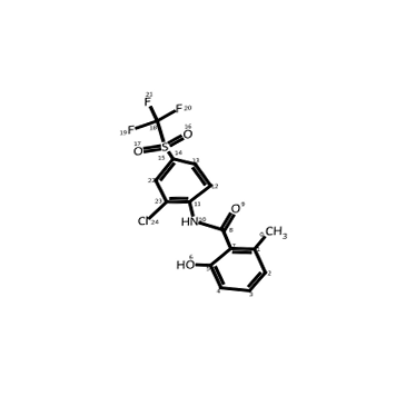 Cc1cccc(O)c1C(=O)Nc1ccc(S(=O)(=O)C(F)(F)F)cc1Cl